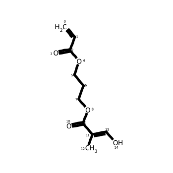 C=CC(=O)OCCCOC(=O)C(C)=CO